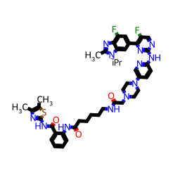 Cc1nc(NC(=O)c2ccccc2NC(=O)CCCCCNC(=O)CN2CCN(c3ccc(Nc4ncc(F)c(-c5cc(F)c6nc(C)n(C(C)C)c6c5)n4)nc3)CC2)sc1C